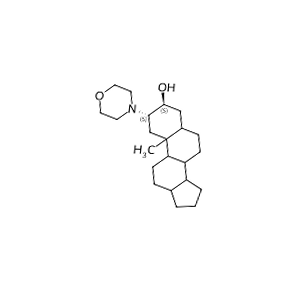 CC12C[C@H](N3CCOCC3)[C@@H](O)CC1CCC1C3CCCC3CCC12